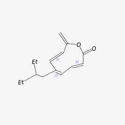 C=C1/C=C/C(CC(CC)CC)=C\C=C\C(=O)O1